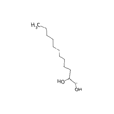 CCCCCCCCCCC(O)[C]O